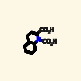 O=C(O)C1=CCc2ccccc2N1C(=O)O